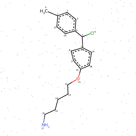 Cc1ccc(C(Cl)c2ccc(OCCCCCN)cc2)cc1